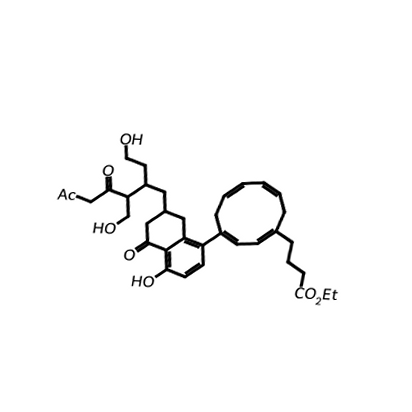 CCOC(=O)CCC/C1=C/C=C(/c2ccc(O)c3c2CC(CC(CCO)C(CO)C(=O)CC(C)=O)CC3=O)C/C=C\C=C/C1